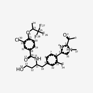 CC(=O)c1nc(-c2ccc(CC(CCO)NC(=O)c3ccc(OC(C)C(F)(F)F)c(Cl)c3)cc2F)cn1C